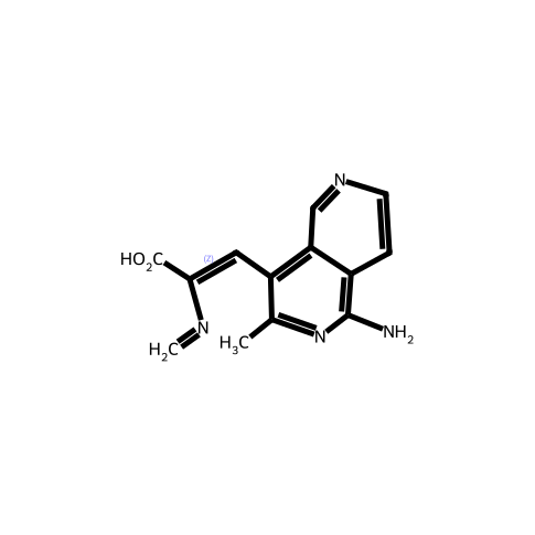 C=N/C(=C\c1c(C)nc(N)c2ccncc12)C(=O)O